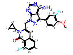 COc1ccc(-c2nn(Cc3cc4cccc(F)c4c(=O)n3C3CC3)c3ncnc(N)c23)cc1F